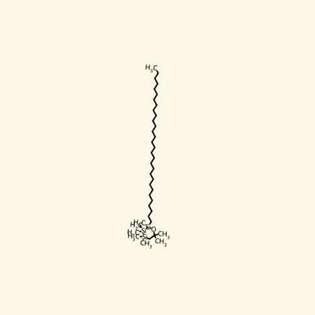 CCCCCCCCCCCCCCCCCCCCCCCCCCCCCC[Si]1(C)OC(C)(C)C[Si](C)(C)[Si]1(C)C